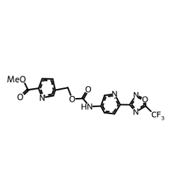 COC(=O)c1ccc(COC(=O)Nc2ccc(-c3noc(C(F)(F)F)n3)nc2)cn1